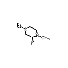 CCN1CCN(C)C(F)C1